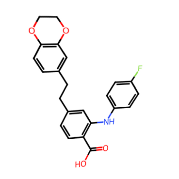 O=C(O)c1ccc(CCc2ccc3c(c2)OCCO3)cc1Nc1ccc(F)cc1